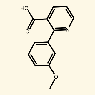 COc1cccc(-c2ncccc2C(=O)O)c1